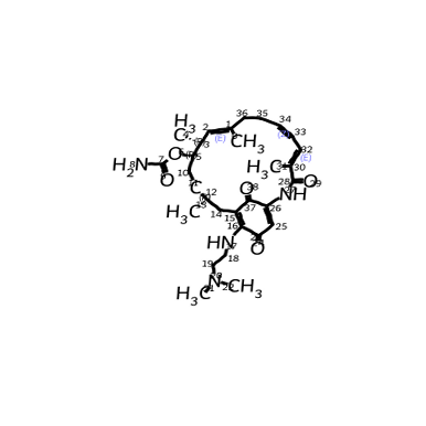 C/C1=C\[C@@H](C)[C@H](OC(N)=O)CC[C@@H](C)CC2=C(NCCN(C)C)C(=O)C=C(NC(=O)/C(C)=C/C=C\CC1)C2=O